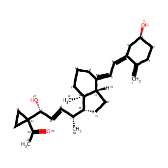 C=C1CC[C@H](O)C/C1=C/C=C1\CCC[C@]2(C)[C@@H]([C@H](C)/C=C/[C@@H](O)C3(C(C)=O)CC3)CC[C@@H]12